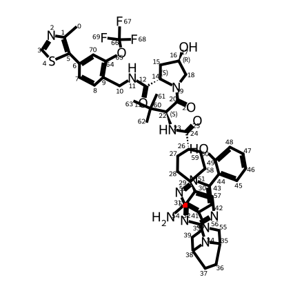 Cc1ncsc1-c1ccc(CNC(=O)[C@@H]2C[C@@H](O)CN2C(=O)[C@@H](NC(=O)[C@H]2CC[C@H](c3cnc(N4C5CCC4CN(c4cc(-c6ccccc6O)nnc4N)C5)nc3)CC2)C(C)(C)C)c(OC(F)(F)F)c1